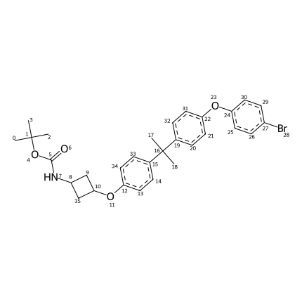 CC(C)(C)OC(=O)NC1CC(Oc2ccc(C(C)(C)c3ccc(Oc4ccc(Br)cc4)cc3)cc2)C1